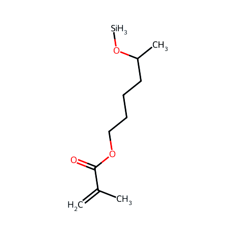 C=C(C)C(=O)OCCCCC(C)O[SiH3]